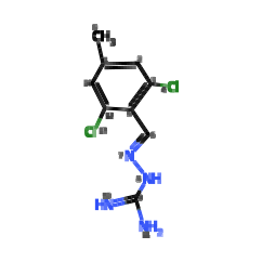 Cc1cc(Cl)c(C=NNC(=N)N)c(Cl)c1